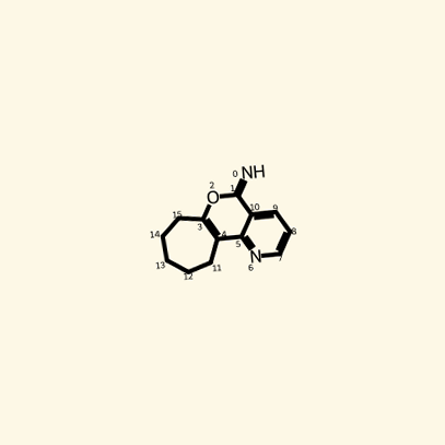 N=c1oc2c(c3ncccc13)CCCCC2